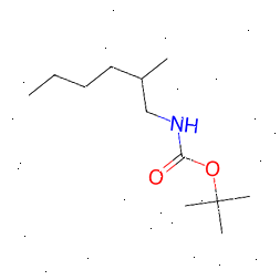 CCCCC(C)CNC(=O)OC(C)(C)C